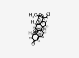 CC(=O)O[C@]1(C(=O)CCl)CC[C@H]2[C@@H]3CCC4=CC(=O)CC[C@]4(C)[C@]34O[C@H]4C[C@@]21C